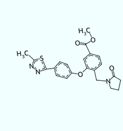 COC(=O)c1ccc(CN2CCCC2=O)c(Oc2ccc(-c3nnc(C)s3)cc2)c1